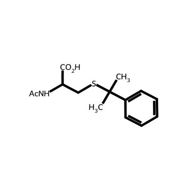 CC(=O)NC(CSC(C)(C)c1ccccc1)C(=O)O